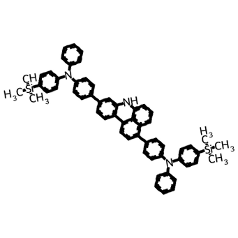 C[Si](C)(C)c1ccc(N(c2ccccc2)c2ccc(-c3ccc4c(c3)Nc3cccc5c(-c6ccc(N(c7ccccc7)c7ccc([Si](C)(C)C)cc7)cc6)ccc-4c35)cc2)cc1